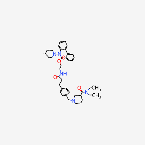 CCN(CC)C(=O)C1CCCN(Cc2ccc(CCC(=O)NCCOC(=O)N(c3ccccc3-c3ccccc3)N3CC[CH]CC3)cc2)C1